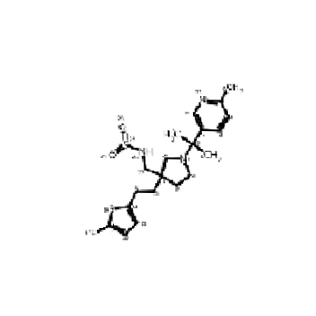 Cc1ccc(C(C)(C)N2CCC(CCc3ccc(F)s3)(CN[SH](=O)=O)C2)cn1